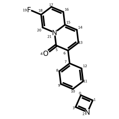 C1=CN=C1.O=c1c(-c2ccccc2)ccc2ccc(F)cn12